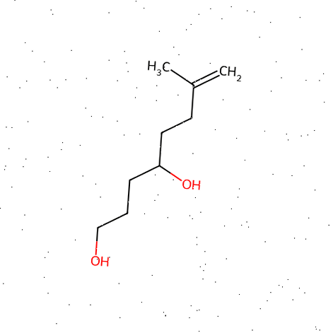 C=C(C)CCC(O)CCCO